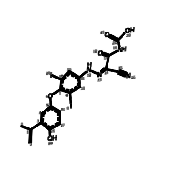 C=C(C)c1cc(Oc2c(I)cc(NN=C(C#N)C(=O)NC(=O)O)cc2I)ccc1O